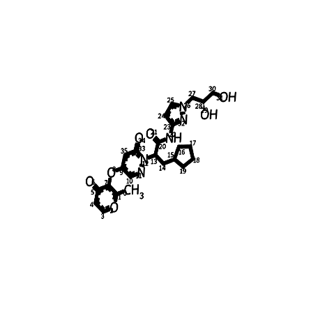 Cc1occc(=O)c1Oc1cnn(C(CC2CCCC2)C(=O)Nc2ccn(C[C@@H](O)CO)n2)c(=O)c1